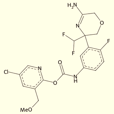 COCc1cc(Cl)cnc1OC(=O)Nc1ccc(F)c(C2(C(F)F)COCC(N)=N2)c1